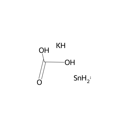 O=C(O)O.[KH].[SnH2]